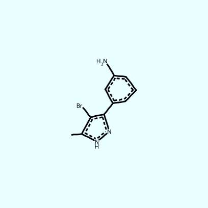 Cc1[nH]nc(-c2cccc(N)c2)c1Br